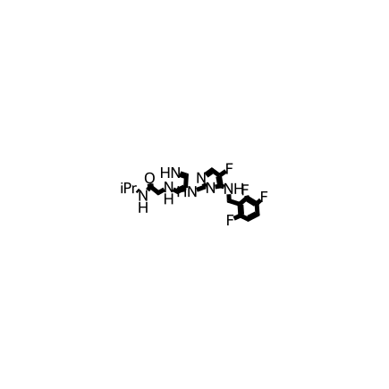 CC(C)NC(=O)CN/C=C(\C=N)Nc1ncc(F)c(NCc2c(F)ccc(F)c2F)n1